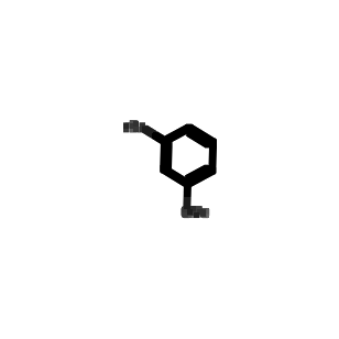 CC[CH]Cc1cccc(OC)c1